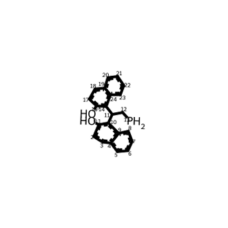 Oc1ccc2ccccc2c1C(CP)c1c(O)ccc2ccccc12